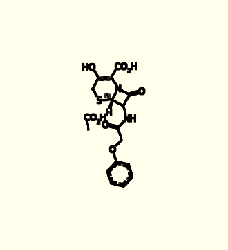 CC(=O)O.O=C(COc1ccccc1)NC1C(=O)N2C(C(=O)O)=C(O)CS[C@@H]12